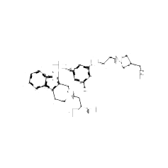 CC[C@@H](F)CN1[C@H](c2c(F)cc(OCCN3CC(CF)C3)cc2F)c2[nH]c3ccccc3c2C[C@H]1C